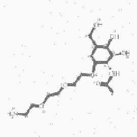 CC(=O)N[C@@H]1C(OCCOCCOCCN)CC(CO)C(O)[C@H]1O